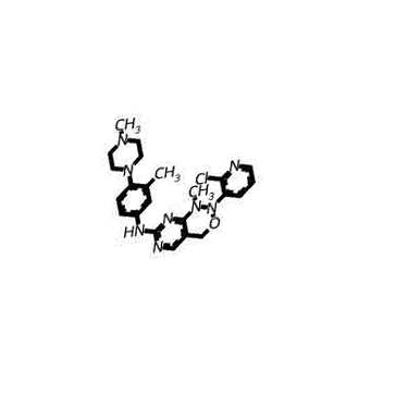 Cc1cc(Nc2ncc3c(n2)N(C)N(c2cccnc2Cl)OC3)ccc1N1CCN(C)CC1